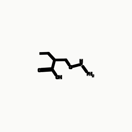 CCC(COPP)C(=O)O